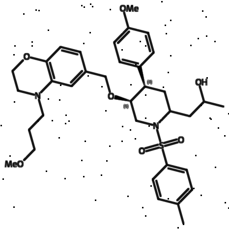 COCCCN1CCOc2ccc(CO[C@@H]3CN(S(=O)(=O)c4ccc(C)cc4)C(CC(C)O)C[C@@H]3c3ccc(OC)cc3)cc21